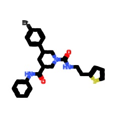 CCc1ccc(C2CC(C(=O)Nc3ccccc3)CN(C(=O)NCCc3cccs3)C2)cc1